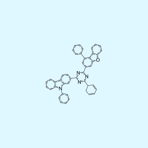 C1=CCC(c2nc(-c3cc(-c4ccccc4)c4c(c3)oc3ccccc34)nc(-c3ccc4c5ccccc5n(-c5ccccc5)c4c3)n2)C=C1